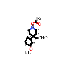 CCOc1cccc(C2(CC=O)CCN(OC(=O)C(C)(C)C)CC2)c1